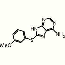 COc1cccc(Sc2nc3c(N)ncnc3[nH]2)c1